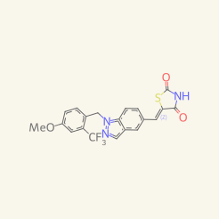 COc1ccc(Cn2ncc3cc(/C=C4\SC(=O)NC4=O)ccc32)c(C(F)(F)F)c1